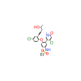 CCS(=O)(=O)Nc1ccc(Oc2ccc(Cl)cc2C#CCC(C)O)c(-c2cn(C)c(=O)cc2Cl)c1